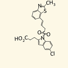 Cc1nc2cccc(C=CCS(=O)(=O)n3c(CCC(=O)O)cc4cc(Cl)ccc43)c2s1